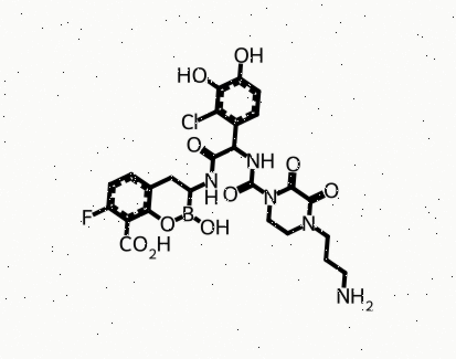 NCCCN1CCN(C(=O)NC(C(=O)NC2Cc3ccc(F)c(C(=O)O)c3OB2O)c2ccc(O)c(O)c2Cl)C(=O)C1=O